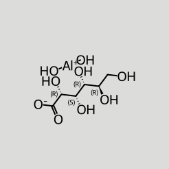 O=C([O-])[C@H](O)[C@@H](O)[C@H](O)[C@H](O)CO.[OH][Al+][OH]